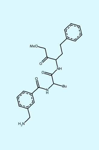 CCC(C)C(NC(=O)c1cccc(CN)c1)C(=O)NC(CCc1ccccc1)C(=O)COC